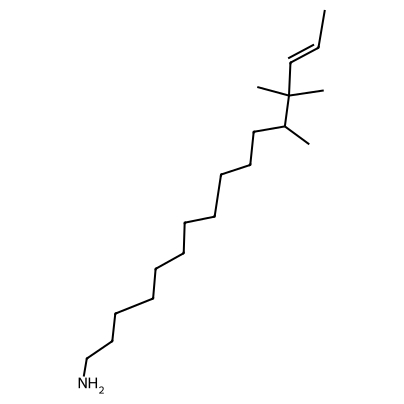 CC=CC(C)(C)C(C)CCCCCCCCCCCN